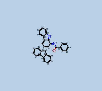 O=C(N=C1C=CC=C2C1=Nc1ccccc12)c1ccccc1.c1ccc2c(c1)Cc1ccccc1-2